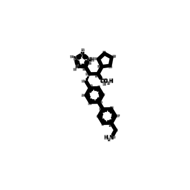 NCc1ccc(-c2ccc(C[C@H](c3nnn[nH]3)C(C(=O)O)C3CCCC3)cc2)cc1